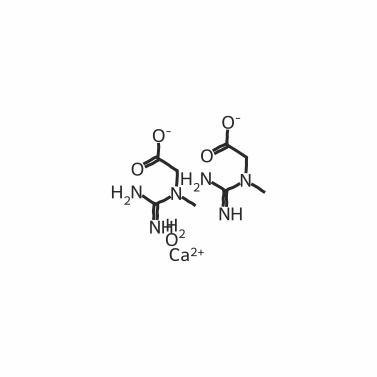 CN(CC(=O)[O-])C(=N)N.CN(CC(=O)[O-])C(=N)N.O.[Ca+2]